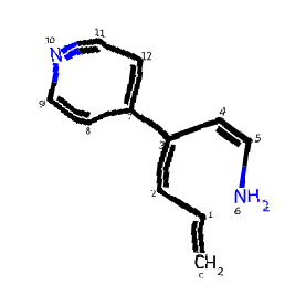 C=C/C=C(\C=C/N)c1ccncc1